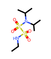 CCNS(=O)(=O)S(=O)(=O)N(C(C)C)C(C)C